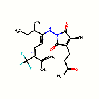 C=C(C)/C(=C\C=C(\NN1C(=O)C(C)=C(CCC(C)=O)C1=O)C(C)CC)C(F)(F)F